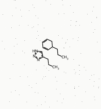 CCCC1C=CC=CC1.CCCc1c[nH]nn1